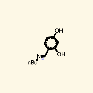 CCCC/N=C/c1ccc(O)cc1O